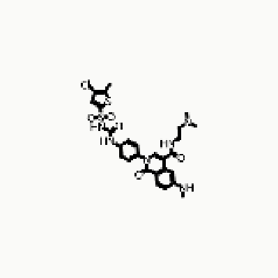 CNc1ccc2c(=O)n(-c3ccc(NC(=O)NS(=O)(=O)c4cc(Cl)c(C)s4)cc3)cc(C(=O)NCCN(C)C)c2c1